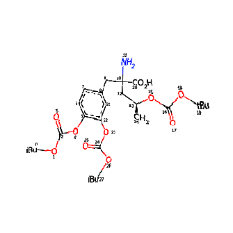 CCC(C)OC(=O)Oc1ccc(CC(N)(C[C@H](C)OC(=O)OC(C)(C)C)C(=O)O)cc1OC(=O)OC(C)CC